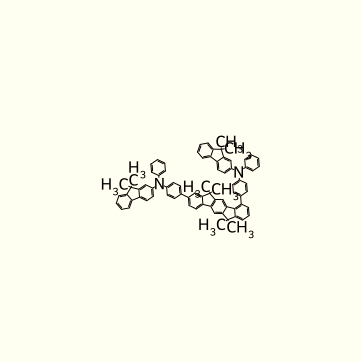 CC1(C)c2ccccc2-c2ccc(N(c3ccccc3)c3ccc(-c4ccc5c(c4)C(C)(C)c4cc6c(cc4-5)C(C)(C)c4cccc(-c5ccc(N(c7ccccc7)c7ccc8c(c7)C(C)(C)c7ccccc7-8)cc5)c4-6)cc3)cc21